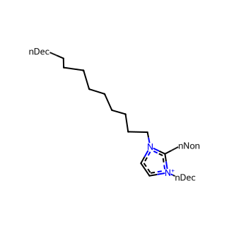 CCCCCCCCCCCCCCCCCCCn1cc[n+](CCCCCCCCCC)c1CCCCCCCCC